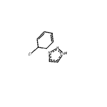 ClC1C=CC=CC1.c1c[nH]nn1